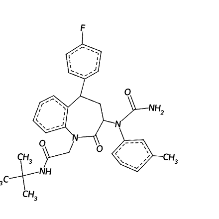 Cc1cccc(N(C(N)=O)C2CC(c3ccc(F)cc3)c3ccccc3N(CC(=O)NC(C)(C)C)C2=O)c1